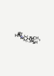 Cc1nc(-c2ccc(/N=C/NC(C)C)cc2)cn1S